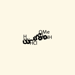 COC(=O)C[C@H](CN1CC[C@@H](CCc2ccc3c(n2)NCCC3)C1)c1cccc(N2CCNCC2)c1.Cl